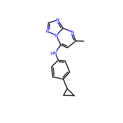 Cc1cc(Nc2ccc(C3CC3)cc2)n2ncnc2n1